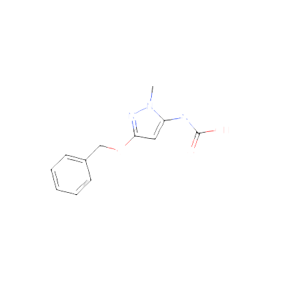 Cn1nc(OCc2ccccc2)cc1NC(=O)O